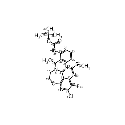 CSc1nc2c3c(nc(Cl)c(F)c3n1)OCCN2C(C)c1ccccc1NC(=O)OC(C)(C)C